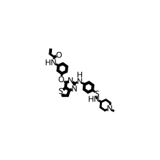 C=CC(=O)Nc1cccc(Oc2nc(Nc3ccc(SNC4CCN(C)CC4)cc3)nc3ccsc23)c1